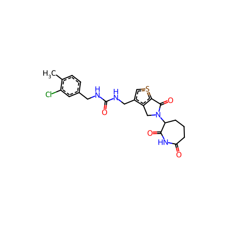 Cc1ccc(CNC(=O)NCc2csc3c2CN(C2CCCC(=O)NC2=O)C3=O)cc1Cl